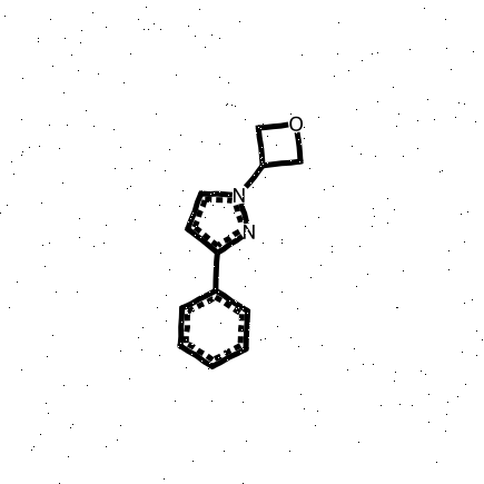 c1ccc(-c2ccn(C3COC3)n2)cc1